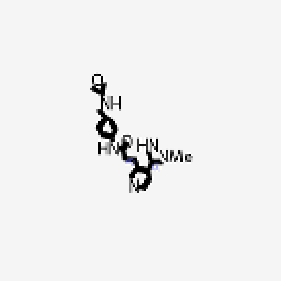 CN/C=C(\C=N)c1ccncc1/C=C/C(=O)Nc1ccc(CNC2COC2)cc1